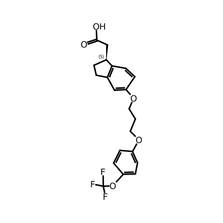 O=C(O)C[C@@H]1CCc2cc(OCCCOc3ccc(OC(F)(F)F)cc3)ccc21